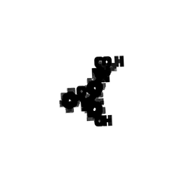 O=C(O)c1nc(-c2ccc(-c3c(C(=O)c4ccccc4)sc4cc(O)ccc34)cc2)no1